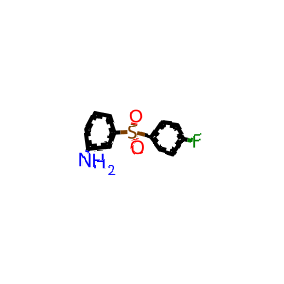 Nc1cccc(S(=O)(=O)c2ccc(F)cc2)c1